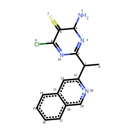 CC(C1=NC(N)C(=S)C(Cl)=N1)c1cc2ccccc2cn1